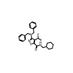 O=C(NCC1CCCCC1)c1snc(N(Cc2ccccc2)Cc2ccccc2)c1C(F)F